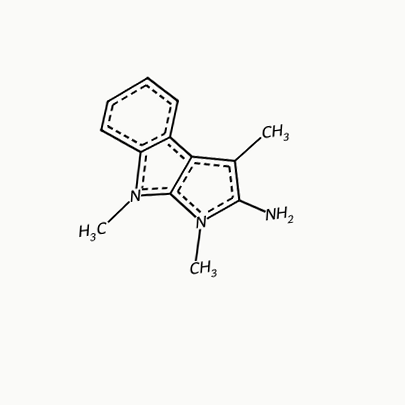 Cc1c(N)n(C)c2c1c1ccccc1n2C